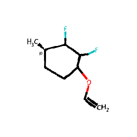 C=COC1CC[C@@H](C)C(F)C1F